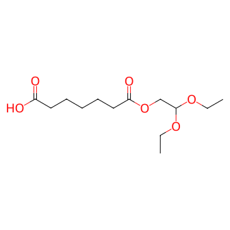 CCOC(COC(=O)CCCCCC(=O)O)OCC